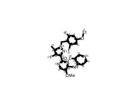 CCOc1cc(F)c(Cn2nc(-c3ncc(OC)c(Nc4ccncc4C(=O)O)n3)c(F)c2C)c(F)c1